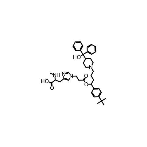 CNC(Cc1cn(CCC(=O)OC(CCCN2CCC(C(O)(c3ccccc3)c3ccccc3)CC2)c2ccc(C(C)(C)C)cc2)cn1)C(=O)O